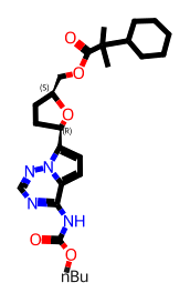 CCCCOC(=O)Nc1ncnn2c([C@H]3CC[C@@H](COC(=O)C(C)(C)C4CCCCC4)O3)ccc12